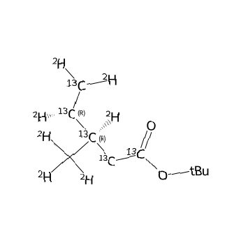 [2H][13CH]([2H])[13C@@H]([2H])[13C@@]([2H])([13CH2][13C](=O)OC(C)(C)C)C([2H])([2H])[2H]